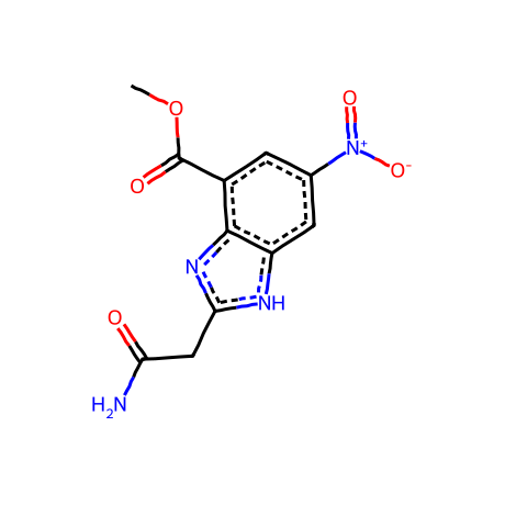 COC(=O)c1cc([N+](=O)[O-])cc2[nH]c(CC(N)=O)nc12